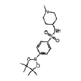 CN1CCC(NS(=O)(=O)c2ccc(B3OC(C)(C)C(C)(C)O3)cc2)CC1